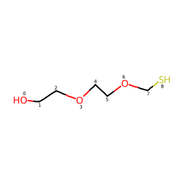 OCCOCCOCS